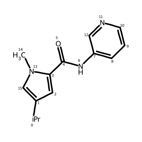 CC(C)c1cc(C(=O)Nc2cccnc2)n(C)c1